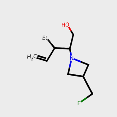 C=CC(CC)C(CO)N1CC(CF)C1